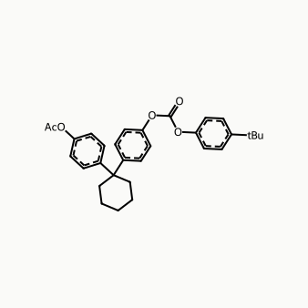 CC(=O)Oc1ccc(C2(c3ccc(OC(=O)Oc4ccc(C(C)(C)C)cc4)cc3)CCCCC2)cc1